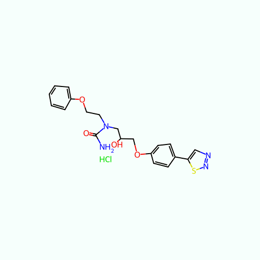 Cl.NC(=O)N(CCOc1ccccc1)CC(O)COc1ccc(-c2cnns2)cc1